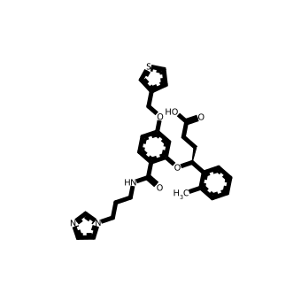 Cc1ccccc1[C@H](CCC(=O)O)Oc1cc(OCc2ccsc2)ccc1C(=O)NCCCn1ccnc1